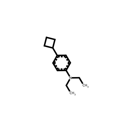 CCN(CC)c1ccc([C]2CCC2)cc1